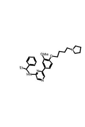 CCC(Nc1cncc(-c2ccc(OCCCCN3CCCC3)c(OC)c2)n1)c1ccccc1